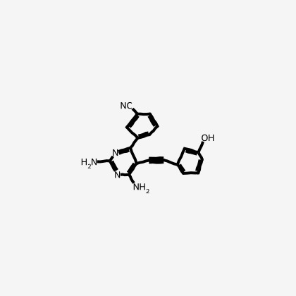 N#Cc1cccc(-c2nc(N)nc(N)c2C#Cc2cccc(O)c2)c1